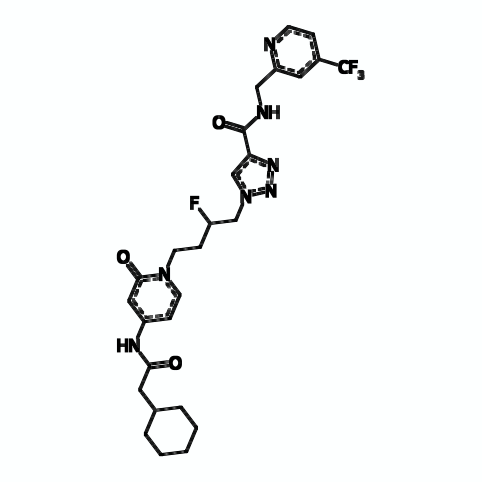 O=C(CC1CCCCC1)Nc1ccn(CCC(F)Cn2cc(C(=O)NCc3cc(C(F)(F)F)ccn3)nn2)c(=O)c1